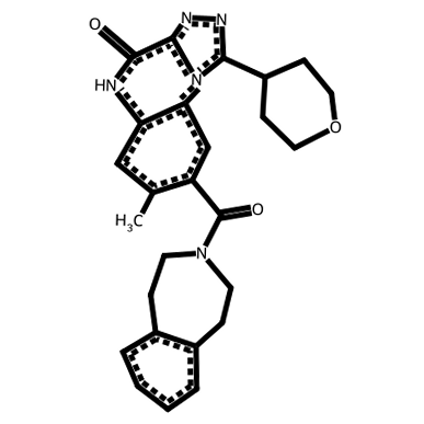 Cc1cc2[nH]c(=O)c3nnc(C4CCOCC4)n3c2cc1C(=O)N1CCc2ccccc2CC1